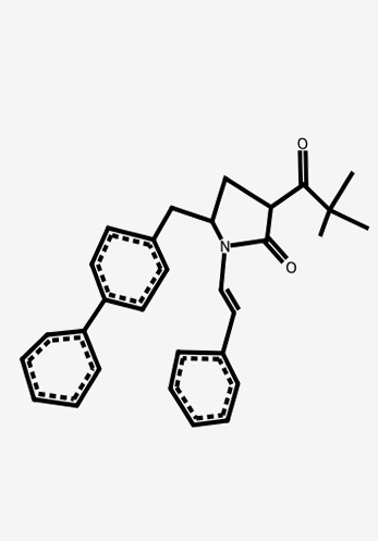 CC(C)(C)C(=O)C1CC(Cc2ccc(-c3ccccc3)cc2)N(C=Cc2ccccc2)C1=O